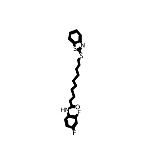 O=C(CCCCCCCCCSc1nc2ccccc2s1)Nc1ccc(F)cc1F